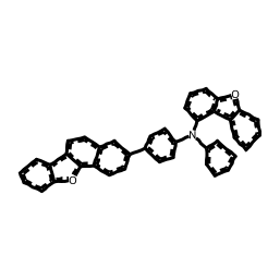 c1ccc(N(c2ccc(-c3ccc4c(ccc5c6ccccc6oc45)c3)cc2)c2cccc3oc4ccccc4c23)cc1